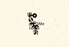 COc1cnc(-n2cnc(C)n2)c2[nH]cc(C(=O)C(=O)N3CCN(c4cnn(C)c4-c4ccccc4)CC3)c12